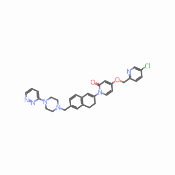 O=c1cc(OCc2ccc(Cl)cn2)ccn1C1=Cc2ccc(CN3CCN(c4cccnn4)CC3)cc2CC1